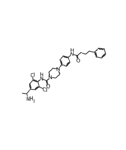 CC(N)c1cc(Cl)c(NC(=O)N2CCN(c3ccc(NC(=O)CCCc4ccccc4)cc3)CC2)c(Cl)c1